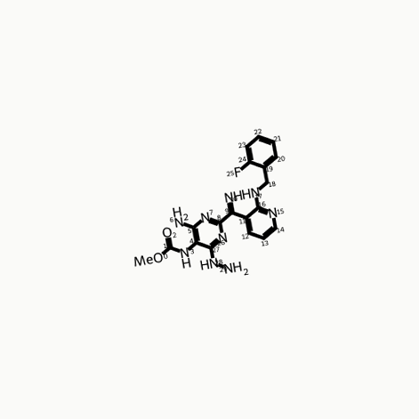 COC(=O)Nc1c(N)nc(C(=N)c2cccnc2NCc2ccccc2F)nc1NN